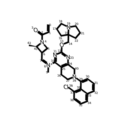 C=CC(=O)N1CC(/C=[N+](/C)c2nc(OCC34CCCN3CCC4)nc3c2CCN(c2cccc4cccc(Cl)c24)C3)[C@H]1C